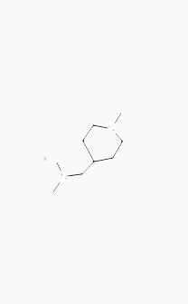 CCCCCN1CCC(CN(CCC)CCC)CC1